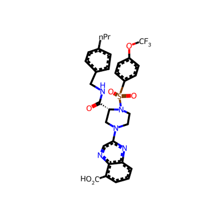 CCCc1ccc(CNC(=O)[C@H]2CN(c3cnc4c(C(=O)O)cccc4n3)CCN2S(=O)(=O)c2ccc(OC(F)(F)F)cc2)cc1